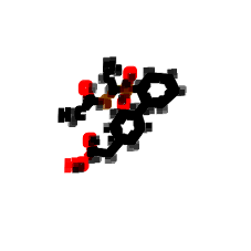 CC(=O)SC(C)S(=O)(=O)c1ccccc1-c1ccc(CC(=O)O)cc1